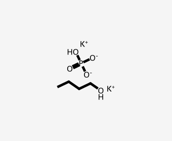 CCCCO.O=P([O-])([O-])O.[K+].[K+]